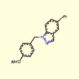 COc1ccc(Cn2ncc3cc(C(C)C)ccc32)cc1